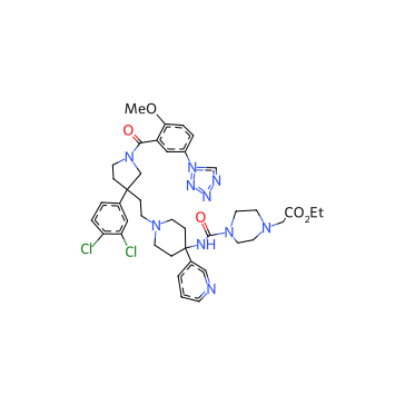 CCOC(=O)CN1CCN(C(=O)NC2(c3cccnc3)CCN(CCC3(c4ccc(Cl)c(Cl)c4)CCN(C(=O)c4cc(-n5cnnn5)ccc4OC)C3)CC2)CC1